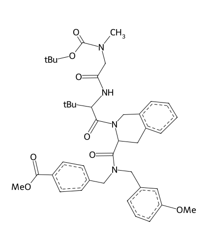 COC(=O)c1ccc(CN(Cc2cccc(OC)c2)C(=O)C2Cc3ccccc3CN2C(=O)C(NC(=O)CN(C)C(=O)OC(C)(C)C)C(C)(C)C)cc1